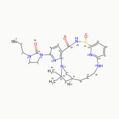 CC(C)(C)CCN1CCN(c2ccc3c(n2)N2C[C@@H](CCCNc4cccc(n4)[S+]([O-])NC3=O)CC2(C)C)C1=O